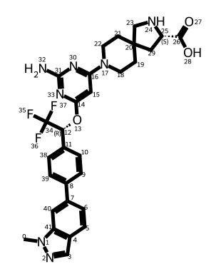 Cn1ncc2ccc(-c3ccc([C@@H](Oc4cc(N5CCC6(CC5)CN[C@H](C(=O)O)C6)nc(N)n4)C(F)(F)F)cc3)cc21